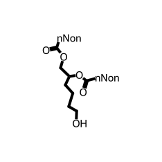 CCCCCCCCCC(=O)OCC(CCCCO)OC(=O)CCCCCCCCC